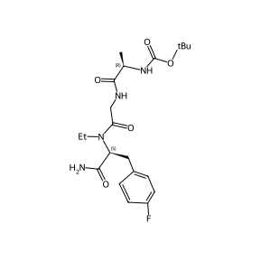 CCN(C(=O)CNC(=O)[C@@H](C)NC(=O)OC(C)(C)C)[C@@H](Cc1ccc(F)cc1)C(N)=O